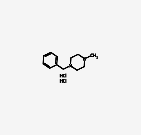 CN1CCN(Cc2ccccc2)CC1.Cl.Cl